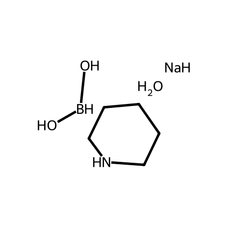 C1CCNCC1.O.OBO.[NaH]